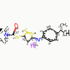 CC(C)c1ccc(/N=c2/cc(SC(=O)N(C)C)ss2)cc1.I